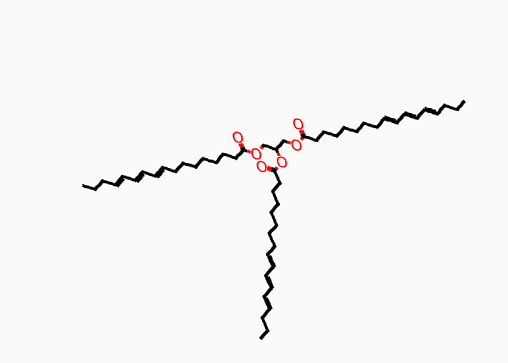 CCC/C=C/C=C/C=C/CCCCCCCC(=O)OCC(COC(=O)CCCCCCC/C=C/C=C/C=C/CCC)OC(=O)CCCCCCC/C=C/C=C/C=C/CCC